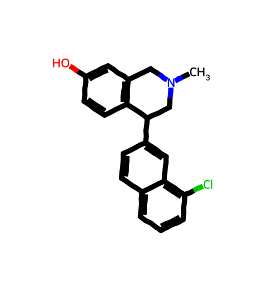 CN1Cc2cc(O)ccc2C(c2ccc3cccc(Cl)c3c2)C1